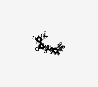 COc1cc(OC(F)(F)F)cc(-c2cc(Cl)cc(NC(=O)c3cc4cc(N(C)S(C)(=O)=O)c(F)cc4s3)c2)c1